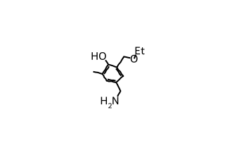 CCOCc1cc(CN)cc(C)c1O